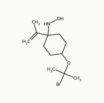 C=C(C)C1(NO)CCC(OC(C)(C)Br)CC1